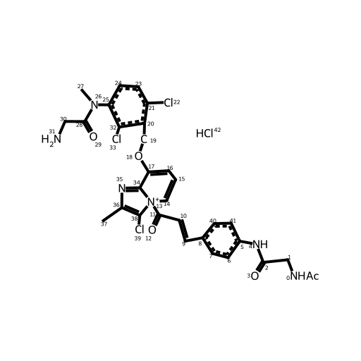 CC(=O)NCC(=O)Nc1ccc(C=CC(=O)[N+]23C=CC=C(OCc4c(Cl)ccc(N(C)C(=O)CN)c4Cl)C2=NC(C)=C3Cl)cc1.Cl